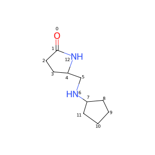 O=C1CCC(CNC2CCCC2)N1